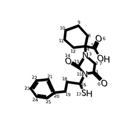 O=C1CN(C2(C(=O)O)CCCCC2)C(=O)N1C(S)CCc1ccccc1